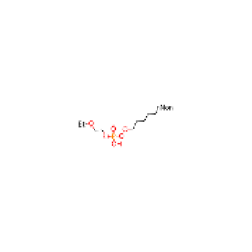 CCCCCCCCCCCCCCOOP(=O)(O)OCCOCC